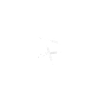 [Na+].[O]=[Al][O-].[O]=[Mn](=[O])(=[O])[OH]